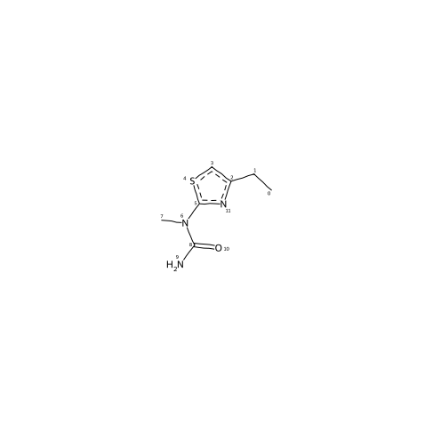 CCc1csc(N(C)C(N)=O)n1